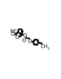 C=Cc1ccc(OCC(=O)OC2C3CC4C2OC(=O)C4(C#N)C3)cc1